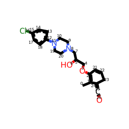 CC1=C(OCC(O)CN2CCN(c3ccc(Cl)cc3)CC2)C=CCC1=C=O